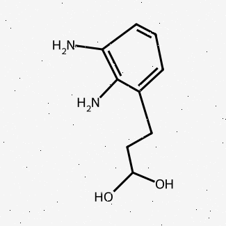 Nc1cccc(CCC(O)O)c1N